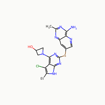 CCc1[nH]c2nc(Sc3cnc4c(N)nc(C)nc4c3)nc(N3CC(O)C3)c2c1Cl